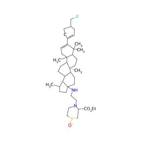 CCOC(=O)C1C[S+]([O-])CCN1CCNC12CCC(C)C1C1CCC3C4(C)CC=C(C5=CCC(CF)CC5)C(C)(C)C4CC[C@@]3(C)C1CC2